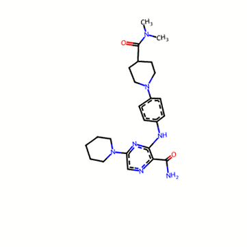 CN(C)C(=O)C1CCN(c2ccc(Nc3nc(N4CCCCC4)cnc3C(N)=O)cc2)CC1